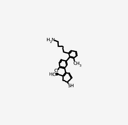 C#CC1=C(c2cc(-c3c(C)cccc3CCCCN)ccc2Cl)C=CC(S)C1